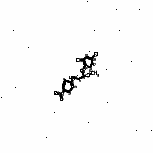 COC(CNc1ccc([N+](=O)[O-])cc1)Oc1ccc(Cl)cc1Cl